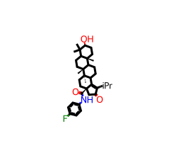 CC(C)C1=C2C3CCC4[C@@]5(C)CC[C@H](O)C(C)(C)C5CC[C@@]4(C)[C@]3(C)CC[C@@]2(C(=O)Nc2ccc(F)cc2)CC1=O